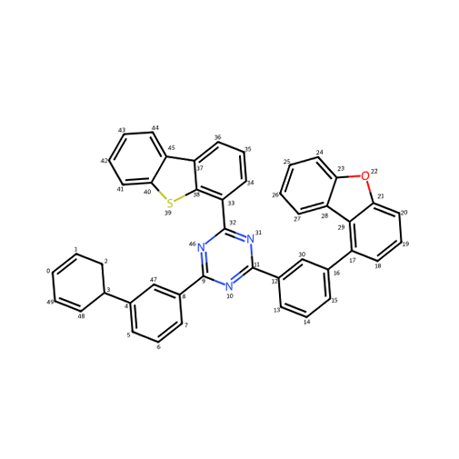 C1=CCC(c2cccc(-c3nc(-c4cccc(-c5cccc6oc7ccccc7c56)c4)nc(-c4cccc5c4sc4ccccc45)n3)c2)C=C1